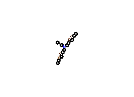 c1ccc(-c2ccc(N(c3ccc4cc5c(cc4c3)sc3c5ccc4c5cc6ccccc6cc5sc43)c3ccc4cc5c(cc4c3)sc3c5ccc4c5cc6ccccc6cc5sc43)cc2)cc1